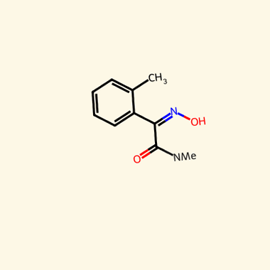 CNC(=O)C(=NO)c1ccccc1C